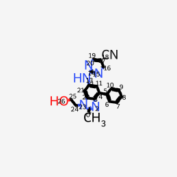 Cc1nc2c(-c3ccccc3)cc(Nc3ncc(C#N)cn3)cc2n1CCO